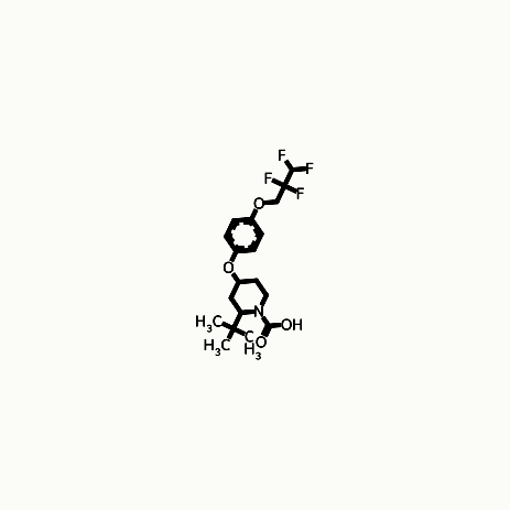 CC(C)(C)C1CC(Oc2ccc(OCC(F)(F)C(F)F)cc2)CCN1C(=O)O